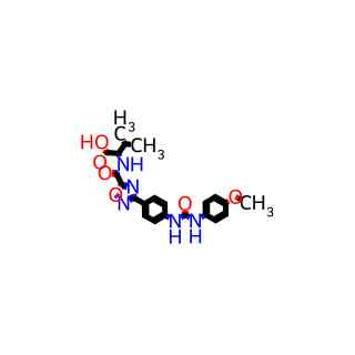 COc1ccc(NC(=O)Nc2ccc(-c3noc(C(=O)NC(C(=O)O)C(C)C)n3)cc2)cc1